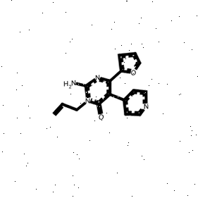 C=CCn1c(N)nc(-c2ccco2)c(-c2ccncc2)c1=O